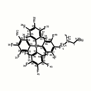 CCC(C)C[NH+](C)CC.Fc1c(F)c(F)c([B-](c2c(F)c(F)c(F)c(F)c2F)(c2c(F)c(F)c(F)c(F)c2F)c2c(F)c(F)c(F)c(F)c2F)c(F)c1F